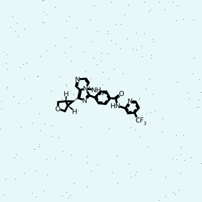 N[N+]12C=CN=CC1=C([C@@H]1[C@@H]3COC[C@@H]31)N=C2c1ccc(C(=O)Nc2cc(C(F)(F)F)ccn2)cc1